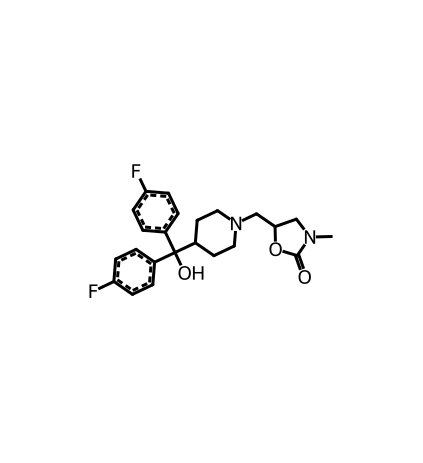 CN1CC(CN2CCC(C(O)(c3ccc(F)cc3)c3ccc(F)cc3)CC2)OC1=O